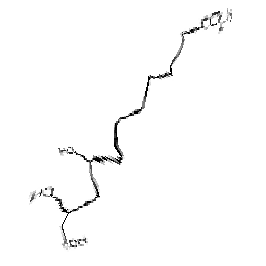 CCCCCCCCC(O)CC(O)CCCCCCC(=O)O